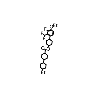 CCOc1ccc(C2CCC(OC(=O)C3CCC(C4CCC(CC)CC4)CC3)CC2)c(C(F)F)c1F